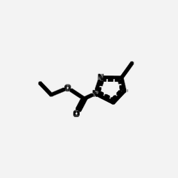 CCOC(=O)n1c[c]c(C)n1